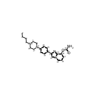 CCCCN1CCN(c2ccc(-c3cn4cccc(OC(N)=O)c4n3)cc2)CC1